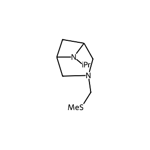 CSCN1CC2CC(C1)N2C(C)C